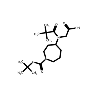 CC(C)(C)OC(=O)N1CCCC(N(CC(=O)O)C(=O)C(C)(C)C)CC1